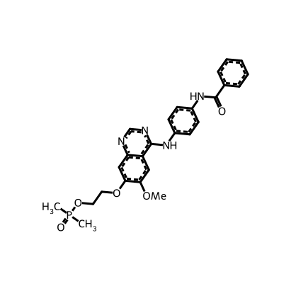 COc1cc2c(Nc3ccc(NC(=O)c4ccccc4)cc3)ncnc2cc1OCCOP(C)(C)=O